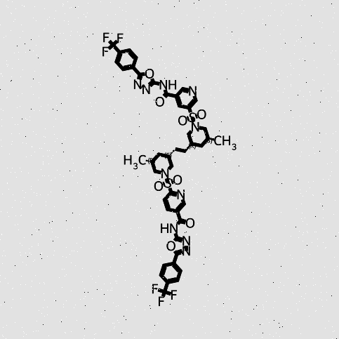 C[C@@H]1C[C@H](CC[C@@H]2C[C@H](C)CN(S(=O)(=O)c3cncc(C(=O)Nc4nnc(-c5ccc(C(F)(F)F)cc5)o4)c3)C2)CN(S(=O)(=O)c2ccc(C(=O)Nc3nnc(-c4ccc(C(F)(F)F)cc4)o3)cn2)C1